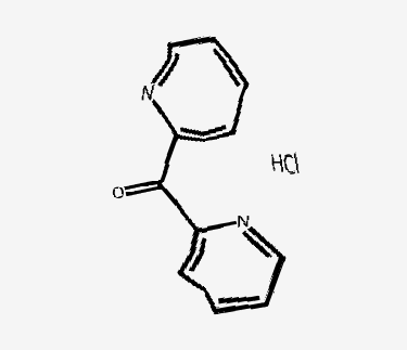 Cl.O=C(c1ccccn1)c1ccccn1